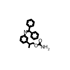 CC(COC(N)=O)c1cccc(N=C(c2ccccc2)c2ccccc2)c1